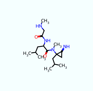 CNCC(=O)NC(CC(C)C)C(=O)N(C)C1(CC(C)C)CC1=N